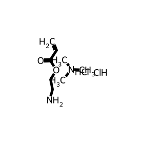 C=CC(=O)OCCN.CN(C)C.Cl.Cl